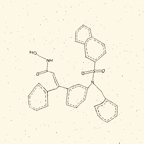 O=C(C=C(c1ccccc1)c1cccc(N(Cc2ccccc2)S(=O)(=O)c2ccc3ccccc3c2)c1)NO